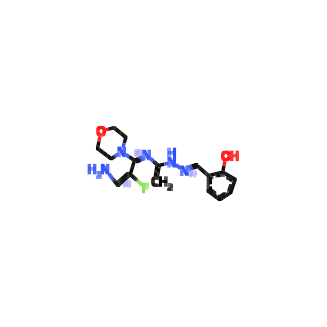 C=C(/N=C(\C(F)=C/N)N1CCOCC1)N/N=C/c1ccccc1O